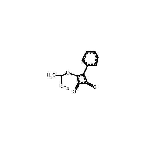 CC(C)Oc1c(-c2ccccc2)c(=O)c1=O